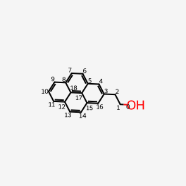 OCCc1cc2ccc3cccc4ccc(c1)c2c34